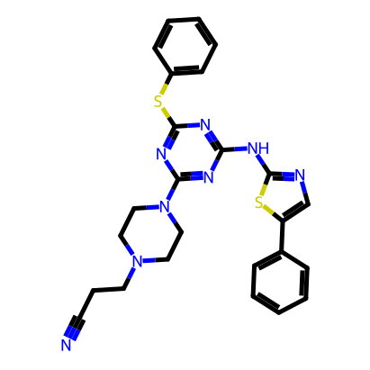 N#CCCN1CCN(c2nc(Nc3ncc(-c4ccccc4)s3)nc(Sc3ccccc3)n2)CC1